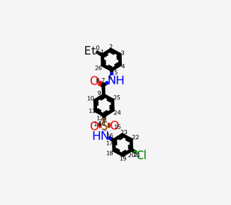 CCc1cccc(NC(=O)c2ccc(S(=O)(=O)Nc3ccc(Cl)cc3)cc2)c1